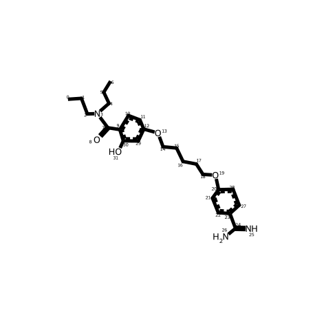 CCCN(CCC)C(=O)c1ccc(OCCCCCOc2ccc(C(=N)N)cc2)cc1O